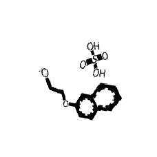 O=S(=O)(O)O.[O]CCOc1ccc2ccccc2c1